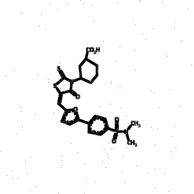 CN(C)S(=O)(=O)c1ccc(-c2ccc(C=C3SC(=S)N(C4CCCC(C(=O)O)C4)C3=O)o2)cc1